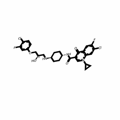 O=C(N[C@H]1CC[C@H](NC[C@@H](O)COc2ccc(Cl)c(F)c2)CC1)c1cn(C2CC2)c2cc(Cl)c(F)cc2c1=O